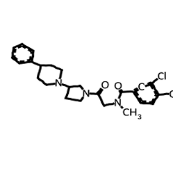 CN(CC(=O)N1CCC(N2CCC(c3ccccc3)CC2)C1)C(=O)c1ccc(Cl)c(Cl)c1